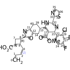 C=C/C=C\C1[C@H](C(=O)O)C[C@H]1c1nc2c(o1)CC(C1=C(C(=O)OC)C(c3ccc(F)c(F)c3Cl)N=C(c3nccs3)N1)CC2